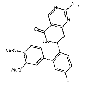 COc1ccc(-c2cc(F)ccc2C2Cc3nc(N)ncc3C(=O)N2)cc1OC